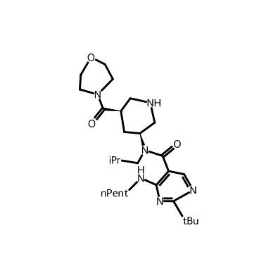 CCCCCNc1nc(C(C)(C)C)ncc1C(=O)N(CC(C)C)[C@@H]1CNC[C@H](C(=O)N2CCOCC2)C1